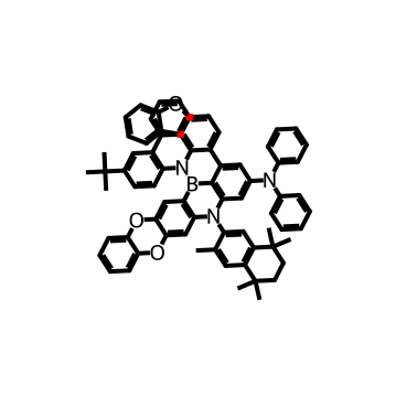 Cc1cc2c(cc1N1c3cc4c(cc3B3c5c(cc(N(c6ccccc6)c6ccccc6)cc51)-c1ccc5oc6ccccc6c5c1N3c1ccc(C(C)(C)C)cc1-c1ccccc1)Oc1ccccc1O4)C(C)(C)CCC2(C)C